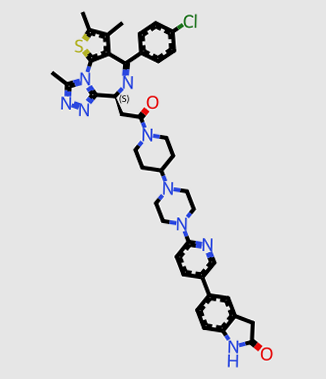 Cc1sc2c(c1C)C(c1ccc(Cl)cc1)=N[C@@H](CC(=O)N1CCC(N3CCN(c4ccc(-c5ccc6c(c5)CC(=O)N6)cn4)CC3)CC1)c1nnc(C)n1-2